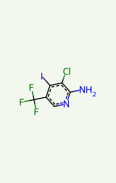 Nc1ncc(C(F)(F)F)c(I)c1Cl